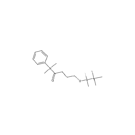 CC(C)(C)[Si](C)(C)OCCCC(=O)[Si](C)(C)c1ccccc1